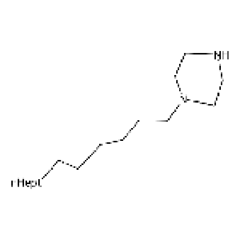 CCCCCCCCCCCCCN1CCNCC1